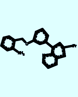 CC(C)c1cc(-c2cccc(OCc3ccccc3N)c2)c2ncccc2c1